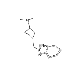 CN(C)C1CC(Cc2nc3ccccc3[nH]2)C1